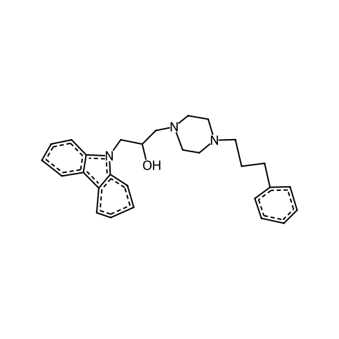 OC(CN1CCN(CCCc2ccccc2)CC1)Cn1c2ccccc2c2ccccc21